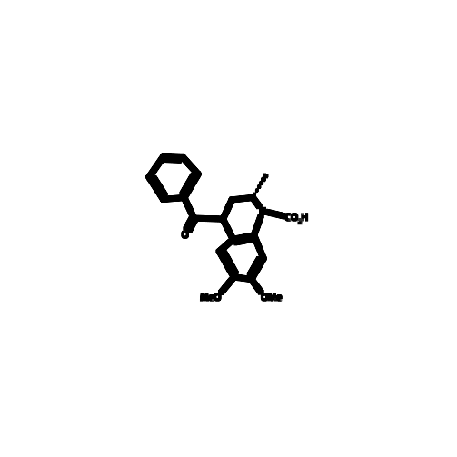 COc1cc2c(cc1OC)N(C(=O)O)[C@@H](C)CC2C(=O)c1ccccc1